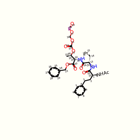 CC(=O)N[C@@H](CCc1ccccc1)C(=O)N[C@@H](CC(C)C)C(=O)N[C@H](C(=O)OCc1ccccc1)[C@@H](C)OC(=O)OCOP=O